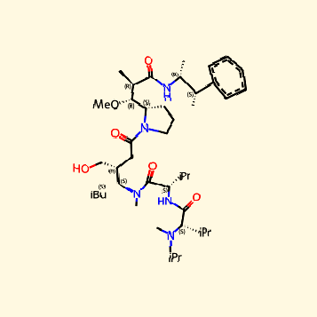 CC[C@H](C)[C@@H]([C@H](CO)CC(=O)N1CCC[C@H]1[C@H](OC)[C@@H](C)C(=O)N[C@H](C)[C@@H](C)c1ccccc1)N(C)C(=O)[C@@H](NC(=O)[C@H](C(C)C)N(C)C(C)C)C(C)C